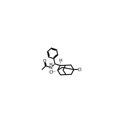 CC(=O)N[C@@H](c1ccccc1)[C@H]1C2CC3CC(Cl)(C2)C[C@@]1(Cl)C3